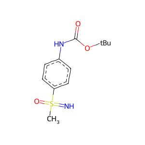 CC(C)(C)OC(=O)Nc1ccc(S(C)(=N)=O)cc1